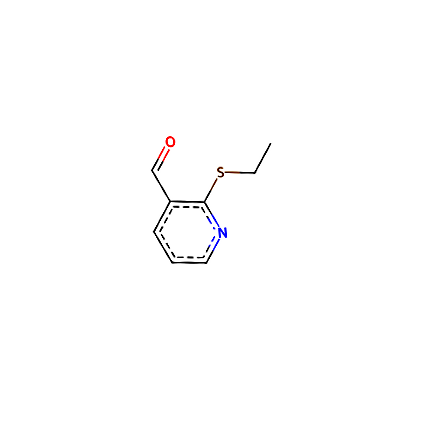 CCSc1ncccc1C=O